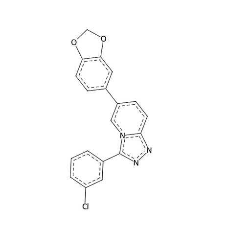 Clc1cccc(-c2nnc3ccc(-c4ccc5c(c4)OCO5)cn23)c1